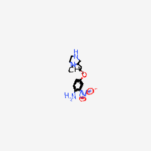 CN1CCNCC1CCOc1ccc(N)c([N+](=O)[O-])c1